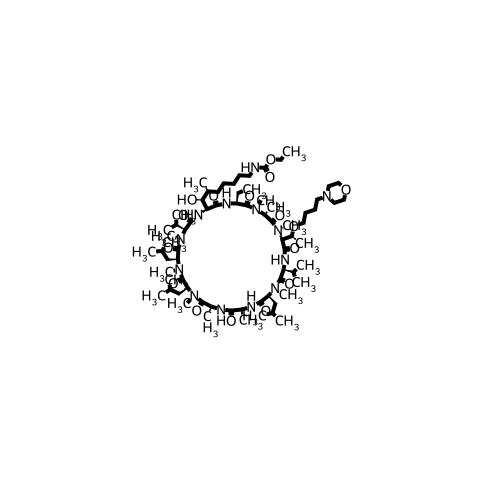 CCOC(=O)NCCCCC[C@@H](C)[C@@H](O)[C@@H]1NC(=O)[C@H](C(C)C)N(C)C(=O)[C@H](CC(C)C)N(C)C(=O)[C@H](CC(C)C)N(C)C(=O)[C@@H](C)NC(=O)[C@H](C)NC(=O)[C@H](CC(C)C)N(C)C(=O)[C@H](C(C)C)NC(=O)[C@H]([C@@H](C)OCCCCN2CCOCC2)N(C)C(=O)[C@@H](C)N(C)C(=O)[C@H](CC)NC1=O